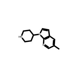 Cc1cnc2c(ccn2C2CCNCC2)c1